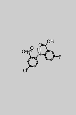 O=C(O)c1cc(F)ccc1Nc1ccc(Cl)cc1[N+](=O)[O-]